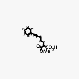 COC(=O)C(C/C=C/C#CC1=CCCCC1)C(=O)O